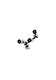 Cc1oc(-c2ccccc2)nc1CCOc1cccc(C[C@H]2CN(C(=O)Oc3ccccc3)C[C@@H]2C(=O)OO)c1